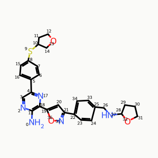 Nc1ncc(-c2ccc(SC3CCOC3)cc2)nc1-c1cc(-c2ccc(CNC3CCCO3)cc2)no1